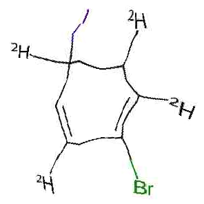 [2H]C1=CC([2H])(I)C([2H])C([2H])=C1Br